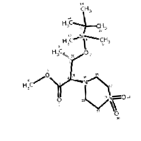 COC(=O)[C@@H]([C@H](C)O[Si](C)(C)C(C)(C)C)N1CCS(=O)(=O)CC1